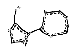 CC(C)c1ncnn1-c1ncccn1